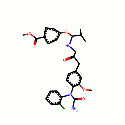 COC(=O)c1ccc(OC(NCC(=O)Cc2ccc(N(C(N)=O)c3ccccc3F)c(OC)c2)C(C)C)cc1